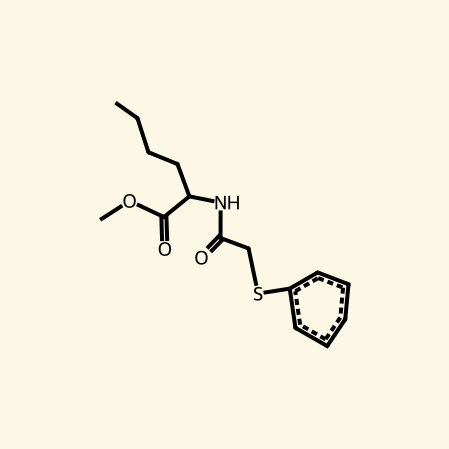 CCCCC(NC(=O)CSc1ccccc1)C(=O)OC